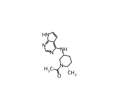 CC(=O)N1C[C@@H](Nc2ncnc3[nH]ccc23)CC[C@@H]1C